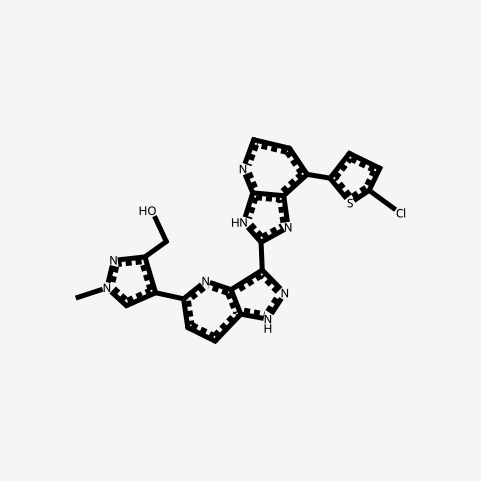 Cn1cc(-c2ccc3[nH]nc(-c4nc5c(-c6ccc(Cl)s6)ccnc5[nH]4)c3n2)c(CO)n1